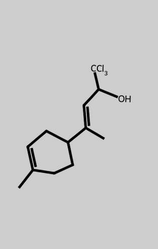 CC1=CCC(C(C)=CC(O)C(Cl)(Cl)Cl)CC1